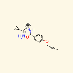 CC#CCOc1ccc(C(=O)N[C@H](CCCC)[C@H](N)C2CC2)cc1